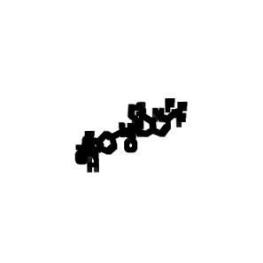 CC(C(=O)NCc1ccc(C(F)(F)F)nc1-c1nccs1)c1ccc(NS(C)(=O)=O)c(F)c1